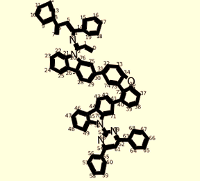 C=C/C(=N\C(=C/C(=C)c1ccccc1)c1ccccc1)n1c2ccccc2c2ccc(-c3ccc4oc5cccc(-c6ccc7c8ccccc8n(-c8nc(-c9ccccc9)cc(-c9ccccc9)n8)c7c6)c5c4c3)cc21